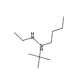 CCCC[SiH](NCC)C(C)(C)C